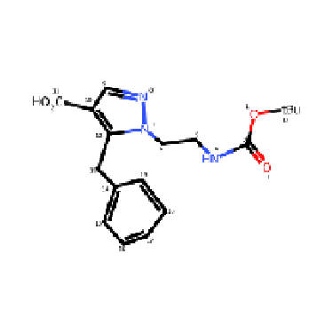 CC(C)(C)OC(=O)NCCn1ncc(C(=O)O)c1Cc1ccccc1